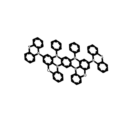 c1ccc(N2c3cc4c(cc3B3c5ccccc5Oc5cc(N6c7ccccc7Sc7ccccc76)cc2c53)B2c3ccccc3Oc3cc(N5c6ccccc6Sc6ccccc65)cc(c32)N4c2ccccc2)cc1